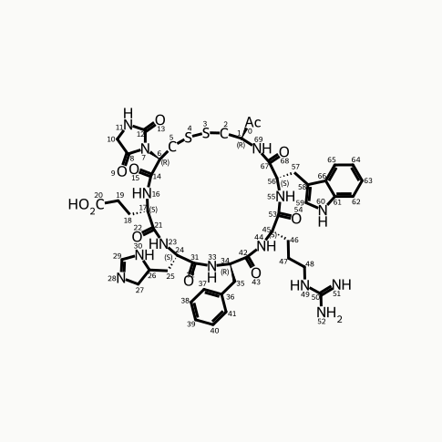 CC(=O)[C@@H]1CSSC[C@H](N2C(=O)CNC2=O)C(=O)N[C@@H](CCC(=O)O)C(=O)N[C@@H](CC2CN=CN2)C(=O)N[C@H](Cc2ccccc2)C(=O)N[C@@H](CCCNC(=N)N)C(=O)N[C@@H](Cc2c[nH]c3ccccc23)C(=O)N1